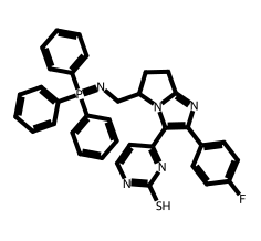 Fc1ccc(-c2nc3n(c2-c2ccnc(S)n2)C(CN=P(c2ccccc2)(c2ccccc2)c2ccccc2)CC3)cc1